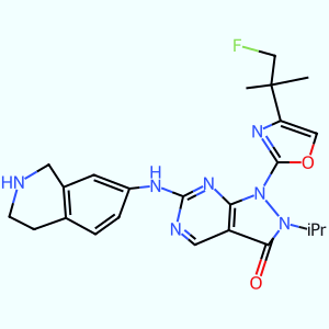 CC(C)n1c(=O)c2cnc(Nc3ccc4c(c3)CNCC4)nc2n1-c1nc(C(C)(C)CF)co1